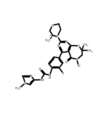 CCN1CC(C)(C)Oc2nc(N3CCOC[C@@H]3C)nc(-c3ccc(NC(=O)Nc4cn(C)cn4)c(F)c3)c2C1=O